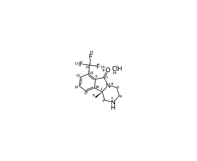 C[C@]12CNCCN1C(=O)c1c(C(F)(F)F)cccc12.Cl